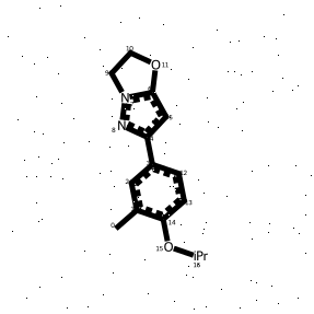 Cc1cc(-c2cc3n(n2)CCO3)ccc1OC(C)C